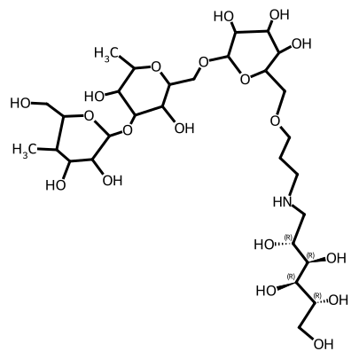 CC1OC(COC2OC(COCCCNC[C@@H](O)[C@@H](O)[C@H](O)[C@H](O)CO)C(O)C(O)C2O)C(O)C(OC2OC(CO)C(C)C(O)C2O)C1O